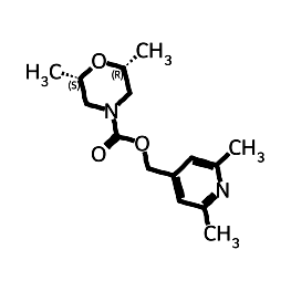 Cc1cc(COC(=O)N2C[C@@H](C)O[C@@H](C)C2)cc(C)n1